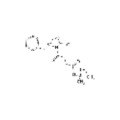 CC(C)(C)OC(=O)CCC(=O)N1C(=O)OC[C@H]1Cc1ccccc1